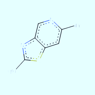 CC(C)c1cc2sc(C(C)(C)C)nc2cn1